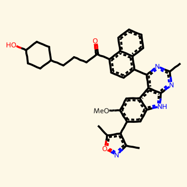 COc1cc2c(cc1-c1c(C)noc1C)[nH]c1nc(C)nc(-c3ccc(C(=O)CCCC4CCC(O)CC4)c4ccccc34)c12